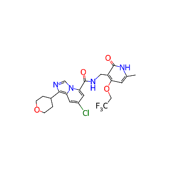 Cc1cc(OCC(F)(F)F)c(CNC(=O)c2cc(Cl)cc3c(C4CCOCC4)ncn23)c(=O)[nH]1